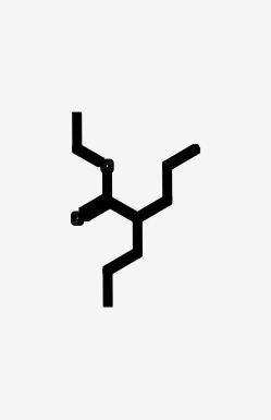 CCCC(CCC)C(=O)OCC